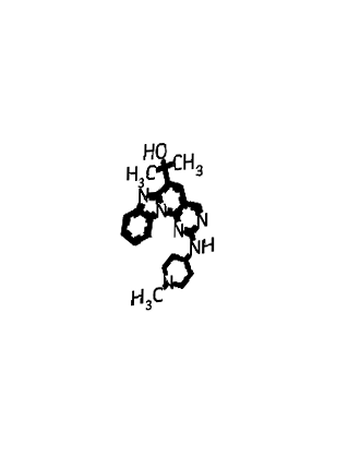 CN1CCC(Nc2ncc3cc(C(C)(C)O)c4nc5ccccc5n4c3n2)CC1